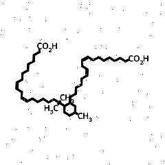 CC1CCC(C(C)(C)CCCCC/C=C\C/C=C\CCCCCCCC(=O)O)C(CCCCC/C=C\C/C=C\CCCCCCCC(=O)O)C1